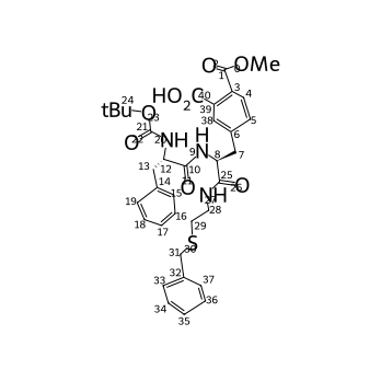 COC(=O)c1ccc(C[C@H](NC(=O)[C@H](Cc2ccccc2)NC(=O)OC(C)(C)C)C(=O)NCCSCc2ccccc2)cc1C(=O)O